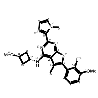 COc1cccc(-c2sc3nc(-c4nccn4C)nc(N[C@H]4C[C@H](OC)C4)c3c2C)c1F